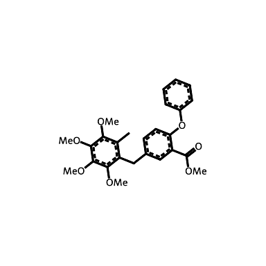 COC(=O)c1cc(Cc2c(C)c(OC)c(OC)c(OC)c2OC)ccc1Oc1ccccc1